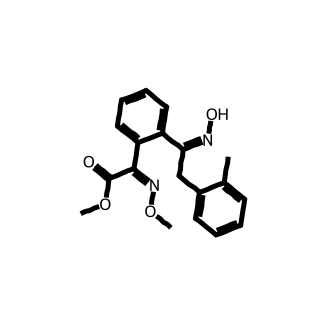 CON=C(C(=O)OC)c1ccccc1C(Cc1ccccc1C)=NO